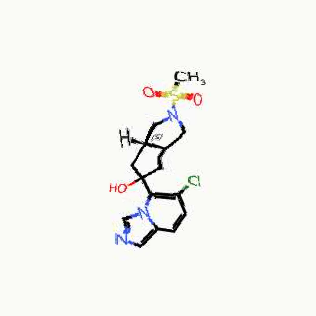 CS(=O)(=O)N1CC2CC(O)(c3c(Cl)ccc4cncn34)C[C@@H]2C1